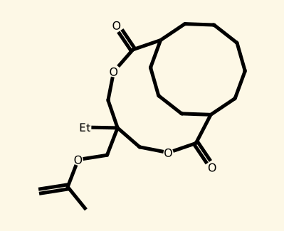 C=C(C)OCC1(CC)COC(=O)C2CCCCCC(CCC2)C(=O)OC1